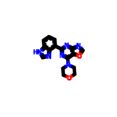 c1cc(-c2nc(N3CCOCC3)c3ocnc3n2)c2nc[nH]c2c1